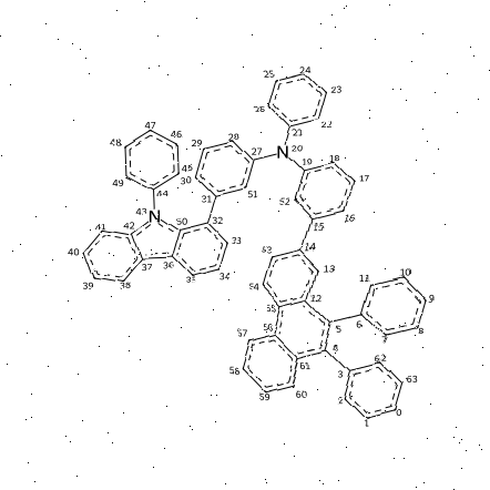 c1ccc(-c2c(-c3ccccc3)c3cc(-c4cccc(N(c5ccccc5)c5cccc(-c6cccc7c8ccccc8n(-c8ccccc8)c67)c5)c4)ccc3c3ccccc23)cc1